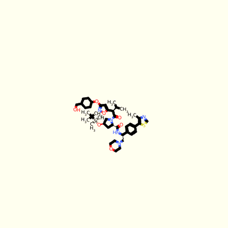 Cc1ncsc1-c1ccc([C@H](CN2CCOCC2)NC(=O)[C@@H]2C[C@@H](O[Si](C)(C)C(C)(C)C)CN2C(=O)[C@@H](c2cc(OC3CCC(CO)CC3)no2)C(C)C)cc1